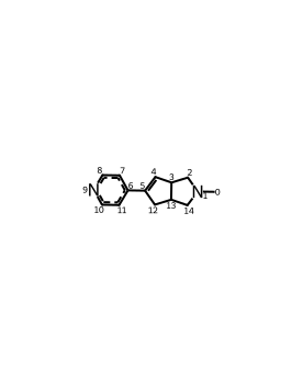 CN1CC2C=C(c3ccncc3)CC2C1